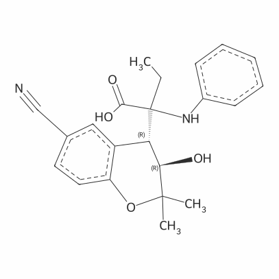 CCC(Nc1ccccc1)(C(=O)O)[C@H]1c2cc(C#N)ccc2OC(C)(C)[C@@H]1O